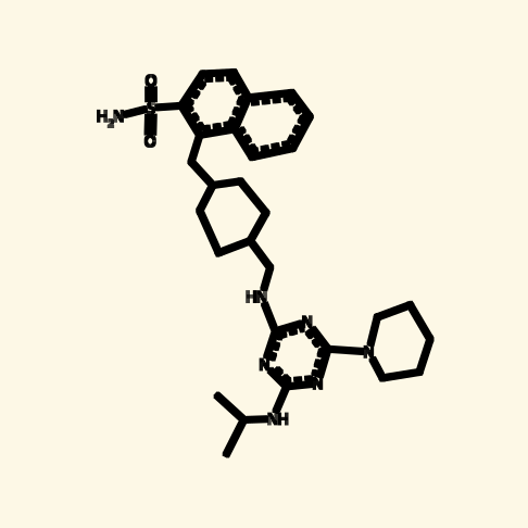 CC(C)Nc1nc(NCC2CCC(Cc3c(S(N)(=O)=O)ccc4ccccc34)CC2)nc(N2CCCCC2)n1